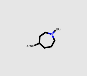 CC(=O)NC1CCCN(C(C)(C)C)CC1